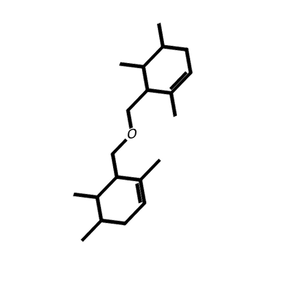 CC1=CCC(C)C(C)C1COCC1C(C)=CCC(C)C1C